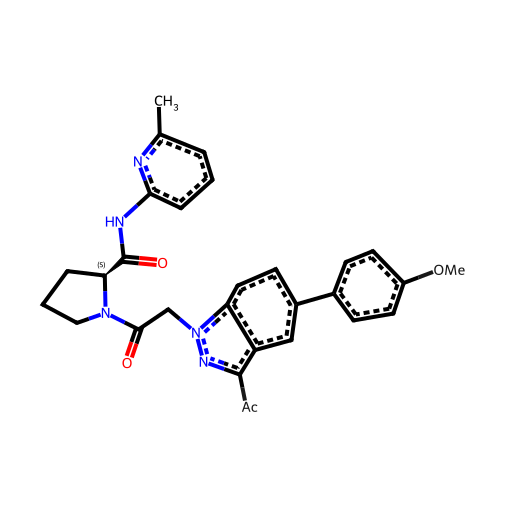 COc1ccc(-c2ccc3c(c2)c(C(C)=O)nn3CC(=O)N2CCC[C@H]2C(=O)Nc2cccc(C)n2)cc1